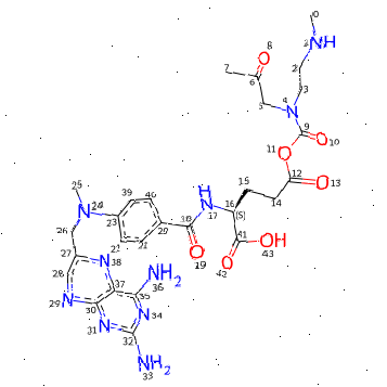 CNCCN(CC(C)=O)C(=O)OC(=O)CC[C@H](NC(=O)c1ccc(N(C)Cc2cnc3nc(N)nc(N)c3n2)cc1)C(=O)O